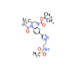 CC(C)OC(=O)N1C[C@H](C)N(C(=O)C2CC2)c2ccc(-c3cnn(CCNS(C)(=O)=O)c3)cc21